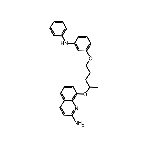 CC(CCCOc1cccc(Nc2ccccc2)c1)Oc1cccc2ccc(N)nc12